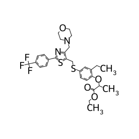 CCOC(=O)C(C)Oc1ccc(SCc2sc(-c3ccc(C(F)(F)F)cc3)nc2CN2CCOCC2)cc1CC